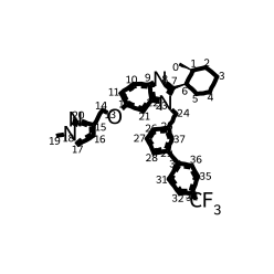 C[C@H]1CCCC[C@H]1c1nc2ccc(OCc3ccn(C)n3)cc2n1Cc1cccc(-c2ccc(C(F)(F)F)cc2)c1